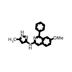 COc1ccc2cc(Nc3cc(C)[nH]n3)nc(-c3ccccc3)c2c1